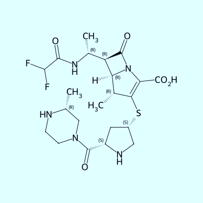 C[C@@H]1CN(C(=O)[C@@H]2C[C@H](SC3=C(C(=O)O)N4C(=O)[C@H]([C@@H](C)NC(=O)C(F)F)[C@@H]4[C@H]3C)CN2)CCN1